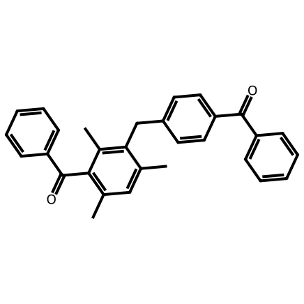 Cc1cc(C)c(C(=O)c2ccccc2)c(C)c1Cc1ccc(C(=O)c2ccccc2)cc1